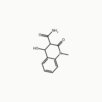 CN1C(=O)C(C(N)=O)C(O)c2ccccc21